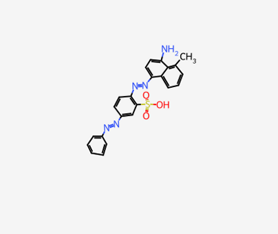 Cc1cccc2c(/N=N/c3ccc(/N=N/c4ccccc4)cc3S(=O)(=O)O)ccc(N)c12